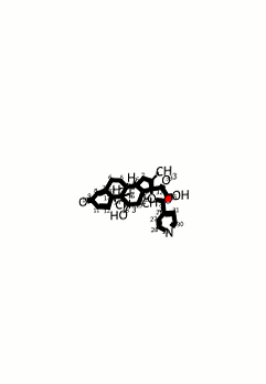 C[C@@H]1C[C@H]2[C@@H]3CCC4=CC(=O)C=C[C@]4(C)[C@@]3(F)[C@@H](O)C[C@]2(C)[C@@]1(OC(=O)c1ccncc1)C(=O)CO